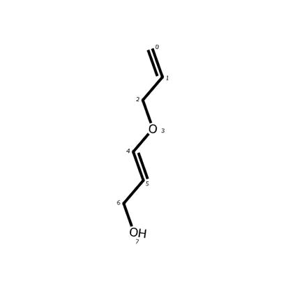 C=CCOC=CCO